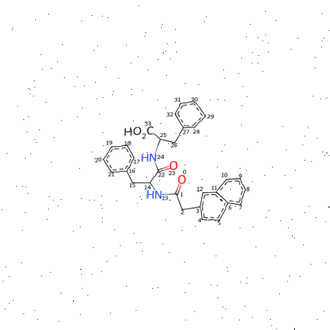 O=C(Cc1ccc2ccccc2c1)NC(Cc1ccccc1)C(=O)NC(Cc1ccccc1)C(=O)O